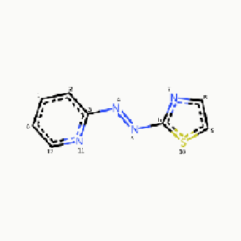 c1ccc(N=Nc2nccs2)nc1